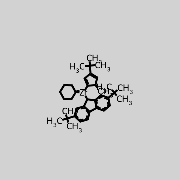 CC1C=C(C(C)(C)C)C=[C]1[Zr](=[C]1CCCCC1)[CH]1c2cc(C(C)(C)C)ccc2-c2ccc(C(C)(C)C)cc21